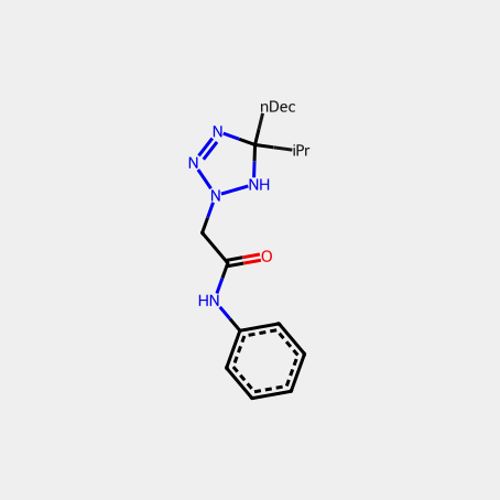 CCCCCCCCCCC1(C(C)C)N=NN(CC(=O)Nc2ccccc2)N1